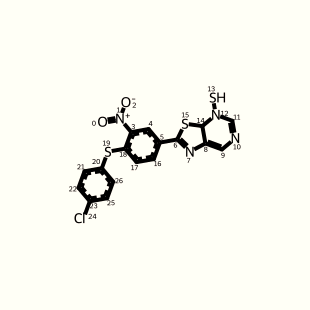 O=[N+]([O-])c1cc(C2=NC3=CN=CN(S)C3S2)ccc1Sc1ccc(Cl)cc1